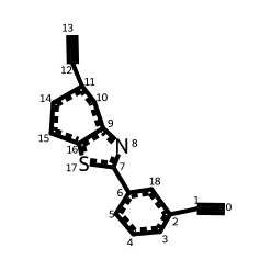 C#Cc1cccc(-c2nc3cc(C#C)ccc3s2)c1